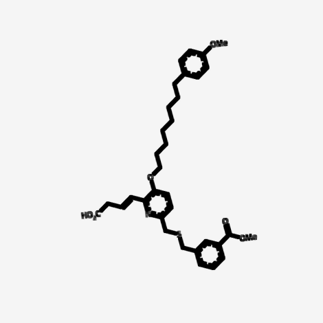 COC(=O)c1cccc(CSCc2ccc(OCCCCCCCCc3ccc(OC)cc3)c(C=CCC(=O)O)n2)c1